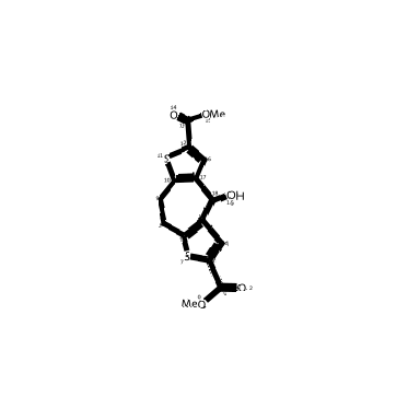 COC(=O)c1cc2c(s1)CCc1sc(C(=O)OC)cc1C2O